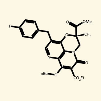 CCCCOc1c(C(=O)OCC)c(=O)n2c3c(c(Cc4ccc(F)cc4)cnc13)O[C@](C)(C(=O)OC)C2